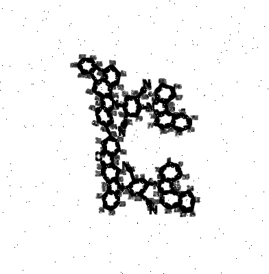 N#Cc1cc(-n2c3ccccc3c3c4ccccc4ccc32)c(C#N)cc1-n1c2ccccc2c2cc3oc4cc(-c5ccc6c7cc8c9c(cccc9c7n(-c7cc(C#N)c(-n9c%10ccccc%10c%10c%11ccccc%11ccc%109)cc7C#N)c6c5)-c5ccccc5-8)ccc4c3cc21